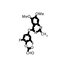 COc1cc2nc(C)nc(Oc3cc(F)c(OC(=O)C=O)c(F)c3)c2cc1OC